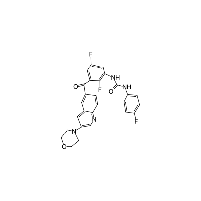 O=C(Nc1ccc(F)cc1)Nc1cc(F)cc(C(=O)c2ccc3ncc(N4CCOCC4)cc3c2)c1F